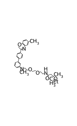 CCOC(C)(C)CC(=O)NCCOCCOCCN(C)c1cccc(-c2ccc(C3=Nc4cc(C)ccc4OC3)cc2)c1